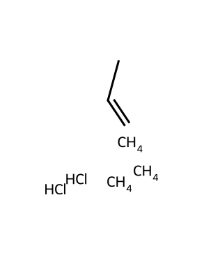 C.C.C.C=CC.Cl.Cl